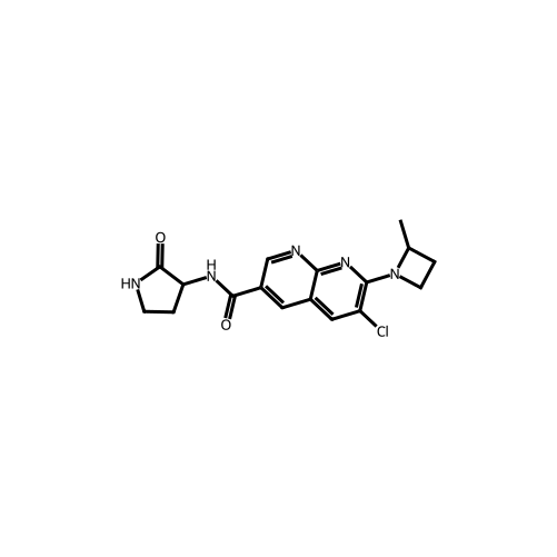 CC1CCN1c1nc2ncc(C(=O)NC3CCNC3=O)cc2cc1Cl